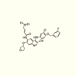 CCN(CC)CC=CC(=O)Nc1cc2c(Nc3ccc(OCc4cccc(F)c4)c(Cl)c3)c(C#N)cnc2cc1OC1CCOC1